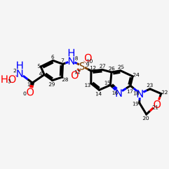 O=C(NO)c1ccc(NS(=O)(=O)c2ccc3nc(N4CCOCC4)ccc3c2)cc1